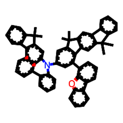 CC1(C)c2ccccc2-c2ccc(N(c3cc(-c4cccc5c4oc4ccccc45)c4c(c3)C(C)(C)c3cc5c(cc3-4)C(C)(C)c3ccccc3-5)c3ccccc3-c3ccccc3)cc21